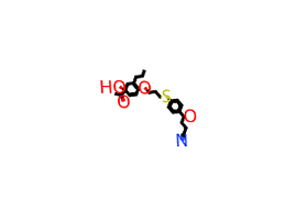 CCCC1=C(OCCCSc2ccc(C(=O)CCC#N)cc2)C=CC(O)(C(C)=O)C1